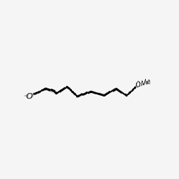 COCCCCCCCC[O]